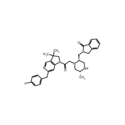 C[C@@H]1CN(CC(=O)N2CC(C)(C)c3cnc(Cc4ccc(F)cc4)cc32)[C@@H](CN2Cc3ccccc3C2=O)CN1